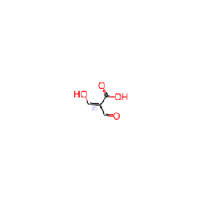 O=C/C(=C/O)C(=O)O